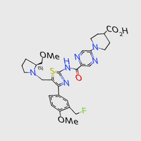 COC[C@@H]1CCCN1Cc1sc(NC(=O)c2cnc(N3CCC(C(=O)O)CC3)cn2)nc1-c1ccc(OC)c(CF)c1